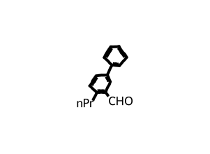 CCCc1ccc(-c2ccccc2)cc1C=O